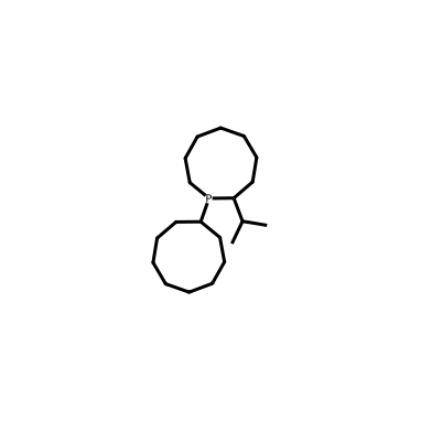 CC(C)C1CCCCCCCP1C1CCCCCCCC1